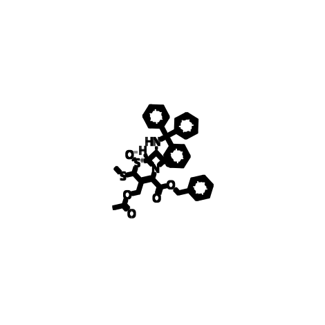 CSC1C(COC(C)=O)=C(C(=O)OCc2ccccc2)N2C(=O)[C@@H](NC(c3ccccc3)(c3ccccc3)c3ccccc3)[C@H]2[S+]1[O-]